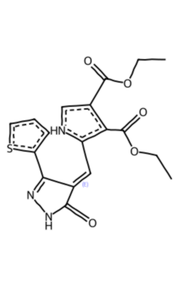 CCOC(=O)c1c[nH]c(/C=C2/C(=O)NN=C2c2cccs2)c1C(=O)OCC